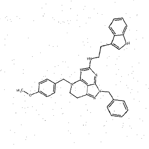 COc1ccc(CN2CCc3nn(Cc4ccccc4)c4nc(NCCc5c[nH]c6ccccc56)nc2c34)cc1